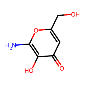 Nc1oc(CO)cc(=O)c1O